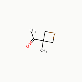 CC(=O)C1(C)CSC1